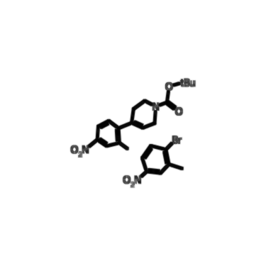 Cc1cc([N+](=O)[O-])ccc1Br.Cc1cc([N+](=O)[O-])ccc1C1=CCN(C(=O)OC(C)(C)C)CC1